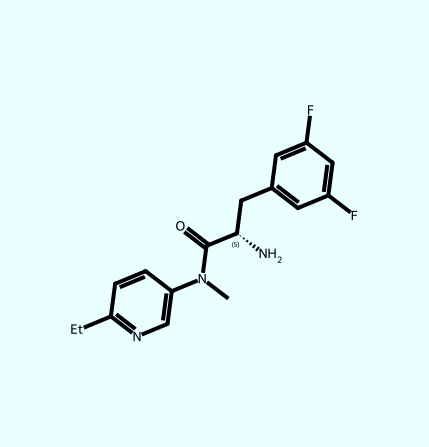 CCc1ccc(N(C)C(=O)[C@@H](N)Cc2cc(F)cc(F)c2)cn1